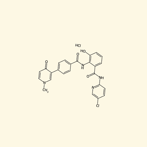 Cl.Cn1ccc(=O)c(-c2ccc(C(=O)Nc3c(O)cccc3C(=O)Nc3ccc(Cl)cn3)cc2)c1